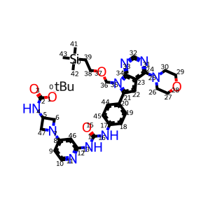 CC(C)(C)OC(=O)NC1CN(c2ccnc(NC(=O)Nc3ccc(-c4cc5c(N6CCOCC6)ncnc5n4COCC[Si](C)(C)C)cc3)c2)C1